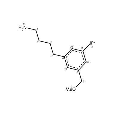 COCc1cc(CCCCN)cc(C(C)C)c1